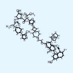 C#Cc1c(F)ccc2cc(O)cc(-c3ncc4c(N5CC6CCC(C5)N6)nc(OCCN5CCC6(CC5)CN(c5cc([C@@H](C(=O)N7C[C@H](O)C[C@H]7C(=O)N[C@@H](C)c7ccc(-c8ccnn8C)cc7)C(C)C)on5)C6)nc4c3F)c12